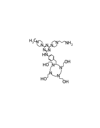 CN1CCN(c2nc(Nc3ccc(CC4CN(CCO)CCN(CCO)CCN(CCO)CCN4CCO)cc3)nc(N3CCN(CCCN)CC3)n2)CC1